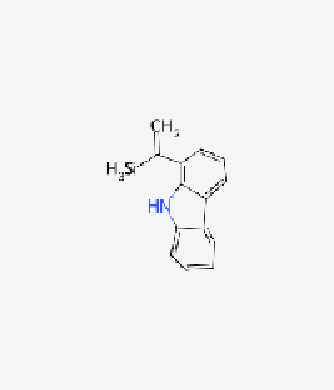 C=C([SiH3])c1cccc2c1[nH]c1ccccc12